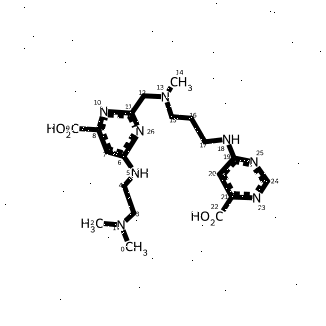 CN(C)CCNc1cc(C(=O)O)nc(CN(C)CCCNc2cc(C(=O)O)ncn2)n1